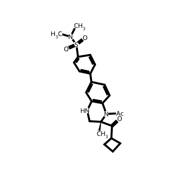 CC(=O)N1c2ccc(-c3ccc(S(=O)(=O)N(C)C)cc3)cc2NC[C@@]1(C)C(=O)C1CCC1